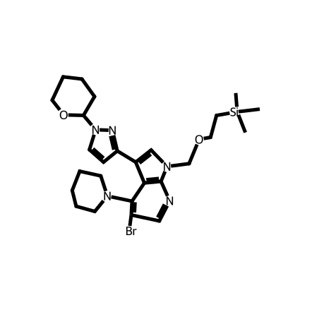 C[Si](C)(C)CCOCn1cc(-c2ccn(C3CCCCO3)n2)c2c(N3CCCCC3)c(Br)cnc21